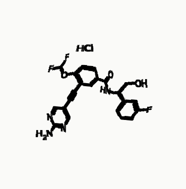 Cl.Nc1ncc(C#Cc2cc(C(=O)NC(CO)c3cccc(F)c3)ccc2OC(F)F)cn1